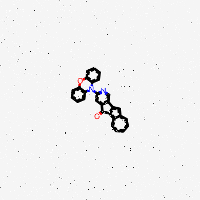 O=C1c2cc(N3c4ccccc4Oc4ccccc43)ncc2-c2cc3cccccc-3c21